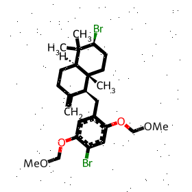 C=C1CC[C@H]2C(C)(C)[C@@H](Br)CC[C@]2(C)[C@H]1Cc1cc(OCOC)c(Br)cc1OCOC